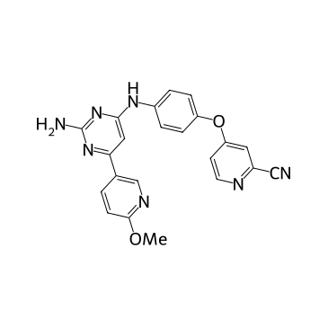 COc1ccc(-c2cc(Nc3ccc(Oc4ccnc(C#N)c4)cc3)nc(N)n2)cn1